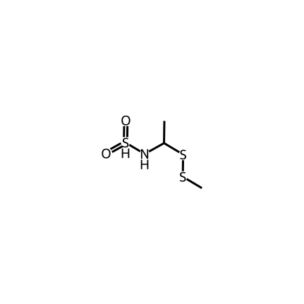 CSSC(C)N[SH](=O)=O